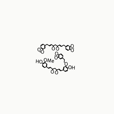 COc1cc(C=CC(=O)CC(=O)C=Cc2ccc(O)c(OCCc3ccc4c(c3)OCO4)c2)ccc1O.O=C(C=CCc1ccc2c(c1)OCO2)CC(=O)C=CCc1ccc2c(c1)OCO2